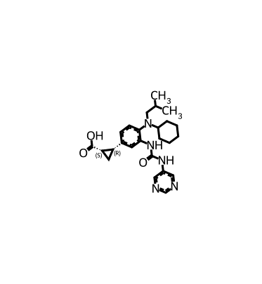 CC(C)CN(c1ccc([C@@H]2C[C@@H]2C(=O)O)cc1NC(=O)Nc1cncnc1)C1CCCCC1